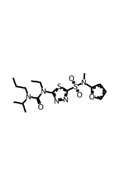 CCCN(C(=O)N(CC)c1nnc(S(=O)(=O)N(C)c2ccco2)s1)C(C)C